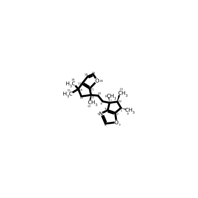 C[C@@H]1c2ocnc2[C@@](C)(CC[C@]2(C)CC(C)(C)c3ccoc32)[C@H]1C